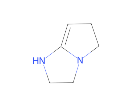 C1=C2NCCN2CC1